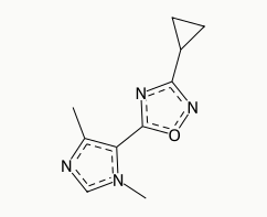 Cc1ncn(C)c1-c1nc(C2CC2)no1